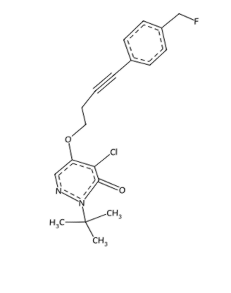 CC(C)(C)n1ncc(OCCC#Cc2ccc(CF)cc2)c(Cl)c1=O